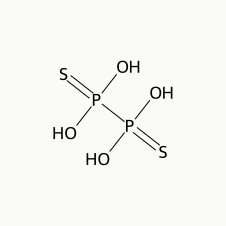 OP(O)(=S)P(O)(O)=S